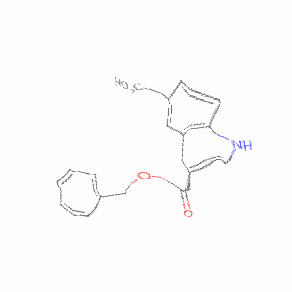 O=C(O)c1ccc2[nH]cc(C(=O)OCc3ccccc3)c2c1